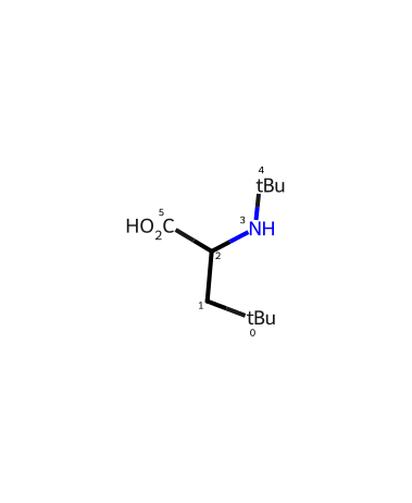 CC(C)(C)CC(NC(C)(C)C)C(=O)O